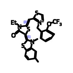 CCn1c(=O)/c(=C2\Sc3ccc(C)cc3N2C)s/c1=C\c1scc[n+]1Cc1ccccc1OC(F)(F)F